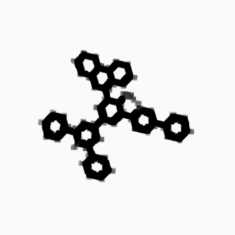 CC1C(c2ccc(-c3ccccc3)cn2)=CC(c2cc(-c3ccccc3)nc(-c3ccccc3)c2)=CC1C1=C2C=CCCC2C2CCC=CC2=C1